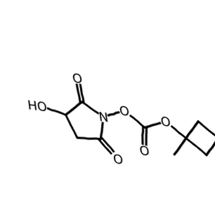 CC1(OC(=O)ON2C(=O)CC(O)C2=O)CCC1